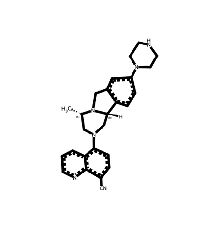 C[C@H]1CN(c2ccc(C#N)c3ncccc23)C[C@H]2c3ccc(N4CCNCC4)cc3CN12